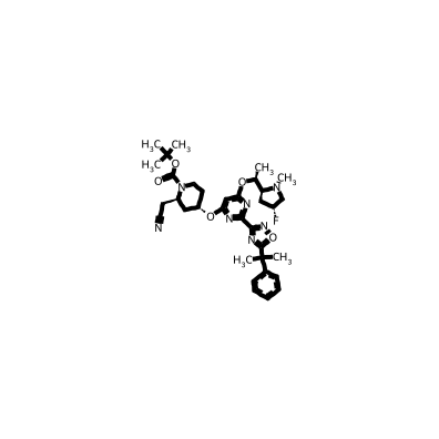 C[C@H](Oc1cc(O[C@H]2CCN(C(=O)OC(C)(C)C)[C@H](CC#N)C2)nc(-c2noc(C(C)(C)c3ccccc3)n2)n1)[C@@H]1C[C@@H](F)CN1C